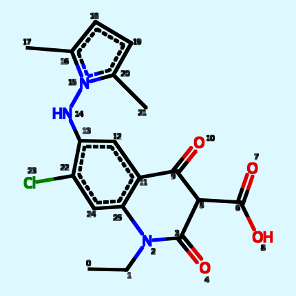 CCN1C(=O)C(C(=O)O)C(=O)c2cc(Nn3c(C)ccc3C)c(Cl)cc21